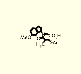 COc1ccc2c(c1)C(N(CC(=O)O)C(=O)C(C)CSC(C)=O)CC2